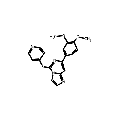 COc1ccc(-c2cc3nccn3c(Sc3ccncc3)n2)cc1OC